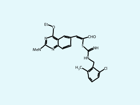 CCOc1nc(NC)nc2ccc(/C=C(/C=O)SC(=N)NCc3c(C)cccc3Cl)cc12